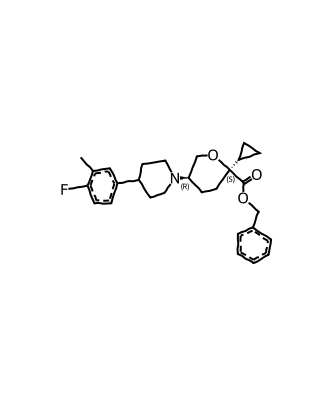 Cc1cc(C2CCN([C@@H]3CC[C@@](C(=O)OCc4ccccc4)(C4CC4)OC3)CC2)ccc1F